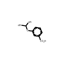 CCCC(CCC)Oc1cccc(C(=O)O)c1